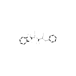 O=C(Nc1nc2ccccc2s1)C(I)Cc1ccccc1